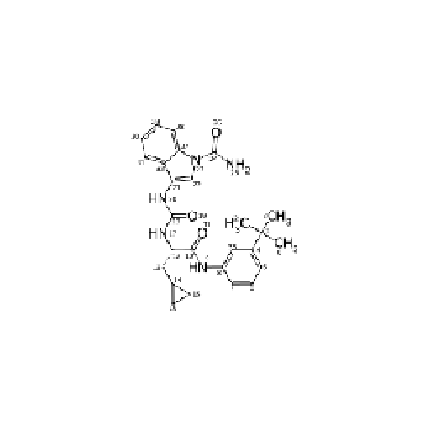 CC(C)(C)c1cccc(NC(=O)[C@H](CC2CC2)NC(=O)Nc2cn(C(N)=O)c3ccccc23)c1